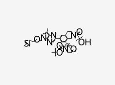 Cc1cn(COCC[Si](C)(C)C)c2ncc(-c3cc4c(c([C@@H]5COCCN5C(=O)OC(C)(C)C)c3)CN(C(=O)C(C)(C)O)CC4)nc12